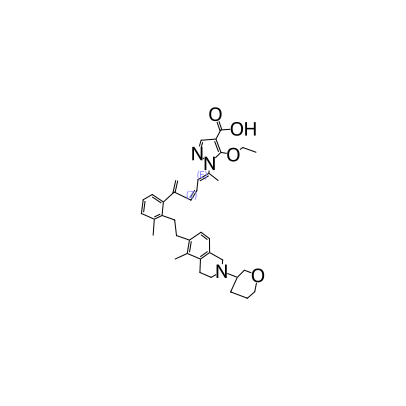 C=C(/C=C\C=C(/C)n1ncc(C(=O)O)c1OCC)c1cccc(C)c1CCc1ccc2c(c1C)CCN(C1CCCOC1)C2